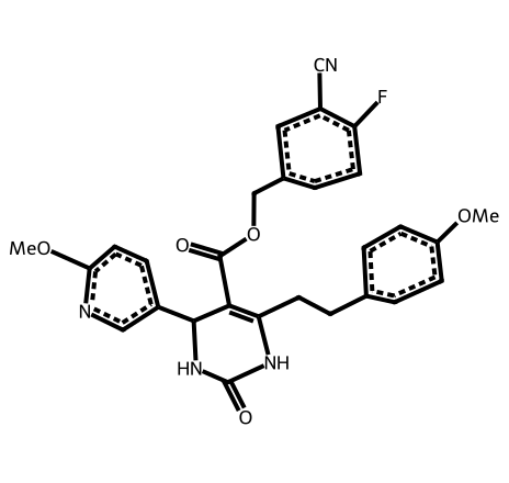 COc1ccc(CCC2=C(C(=O)OCc3ccc(F)c(C#N)c3)C(c3ccc(OC)nc3)NC(=O)N2)cc1